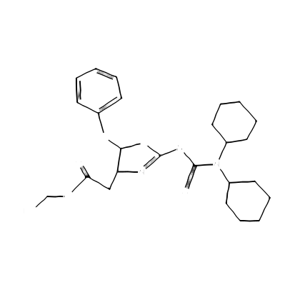 CCOC(=O)CC1N=C(NC(=O)N(C2CCCCC2)C2CCCCC2)SC1Sc1ccccc1